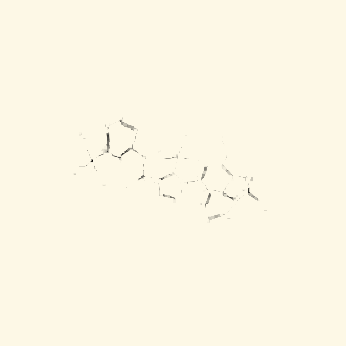 COc1cc(-n2ncc(C(=O)Nc3ccnc(C(F)(F)F)c3)c2C(F)(F)F)c2cccc3c2c1NC3=O